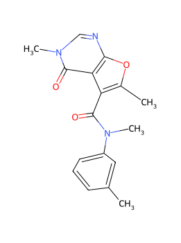 Cc1cccc(N(C)C(=O)c2c(C)oc3ncn(C)c(=O)c23)c1